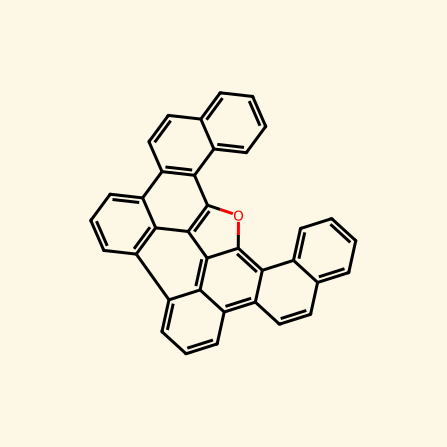 c1ccc2c(c1)ccc1c3cccc4c5cccc6c7ccc8ccccc8c7c7oc(c21)c(c34)c7c65